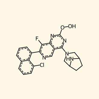 OOc1nc(N2CC3CCC(C2)N3)c2cnc(-c3cccc4cccc(Cl)c34)c(F)c2n1